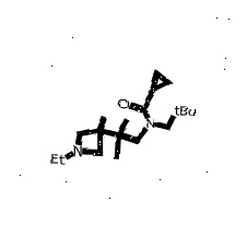 CCN1CC(C)(C(C)(C)CN(CC(C)(C)C)C(=O)C2CC2)C1